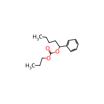 CCCCC(OC(=O)OCCC)c1ccccc1